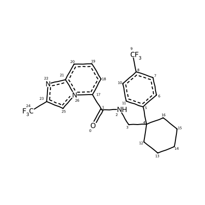 O=C(NCC1(c2ccc(C(F)(F)F)cc2)CCCCC1)c1cccc2nc(C(F)(F)F)cn12